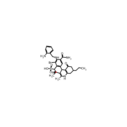 CCCC1CC(=O)C2=C(C1)NC(C)=C(C#N)C2c1cc(C(N)=O)c(NCc2ccccc2N)c(Br)c1C(CC)S(=O)(=O)O